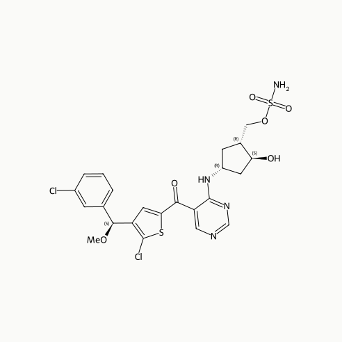 CO[C@@H](c1cccc(Cl)c1)c1cc(C(=O)c2cncnc2N[C@@H]2C[C@H](COS(N)(=O)=O)[C@@H](O)C2)sc1Cl